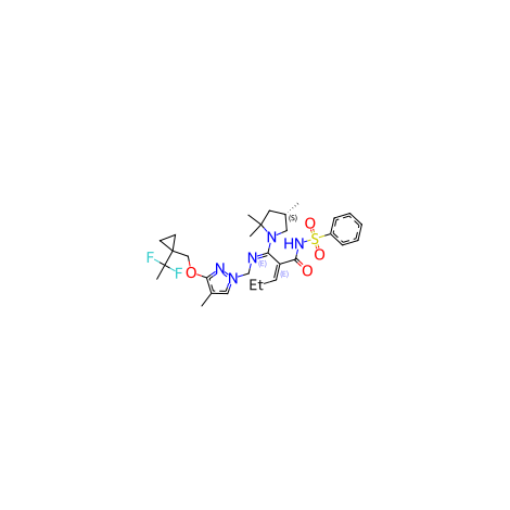 CC/C=C(C(=O)NS(=O)(=O)c1ccccc1)\C(=N/Cn1cc(C)c(OCC2(C(C)(F)F)CC2)n1)N1C[C@@H](C)CC1(C)C